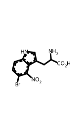 NC(Cc1c[nH]c2ccc(Br)c([N+](=O)[O-])c12)C(=O)O